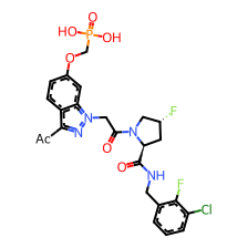 CC(=O)c1nn(CC(=O)N2C[C@H](F)C[C@H]2C(=O)NCc2cccc(Cl)c2F)c2cc(OCP(=O)(O)O)ccc12